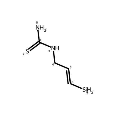 NC(=S)NCC=C[SiH3]